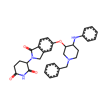 O=C1CCC(N2Cc3cc(OC4CN(Cc5ccccc5)CCC4Nc4ccccc4)ccc3C2=O)C(=O)N1